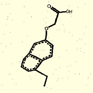 CCc1cccc2cc(OCC(=O)O)ccc12